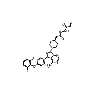 C=CC(=O)NNC(=O)C=C1CCC(n2nc(-c3ccc(Oc4c(F)cccc4F)cc3)c3c(N)ncnc32)CC1